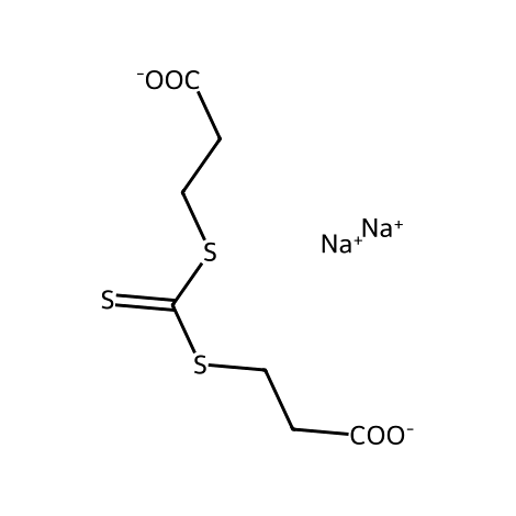 O=C([O-])CCSC(=S)SCCC(=O)[O-].[Na+].[Na+]